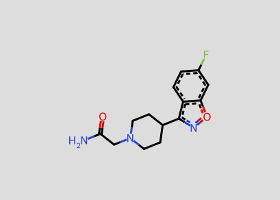 NC(=O)CN1CCC(c2noc3cc(F)ccc23)CC1